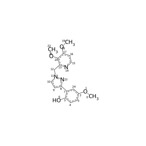 COc1ccc(O)c(-c2ccn(Cc3nccc(OC)c3OC)n2)c1